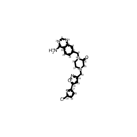 Nc1ncnc2cc(CN3CCN(Cc4cc(-c5ccc(Cl)s5)on4)CC3=O)ccc12